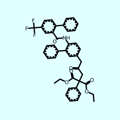 CCOC(=O)C(CC(=O)Cc1ccc(NC(=O)c2cc(C(F)(F)F)ccc2-c2ccccc2)c(-c2ccccc2)c1)(C(=O)OCC)c1ccccc1